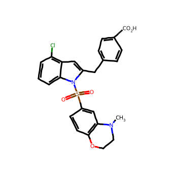 CN1CCOc2ccc(S(=O)(=O)n3c(Cc4ccc(C(=O)O)cc4)cc4c(Cl)cccc43)cc21